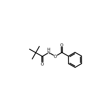 CC(C)(C)C(=O)NOC(=O)c1ccccc1